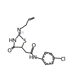 C=CC/N=C1/NC(=O)C(CC(=O)Nc2ccc(Cl)cc2)S1